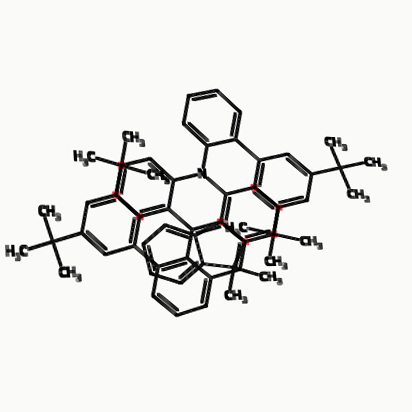 CC(C)(C)c1cc(-c2ccccc2N(c2ccccc2-c2cccc3cccc(-c4cc(C(C)(C)C)cc(C(C)(C)C)c4)c23)c2cccc3c2-c2ccccc2C3(C)C)cc(C(C)(C)C)c1